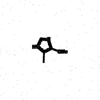 COc1nc[nH]c1C